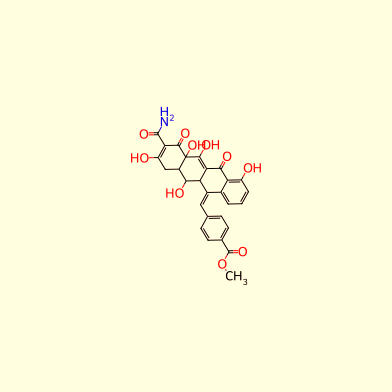 COC(=O)c1ccc(/C=C2\c3cccc(O)c3C(=O)C3=C(O)C4(O)C(=O)C(C(N)=O)=C(O)CC4C(O)C32)cc1